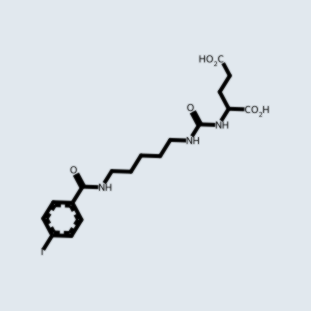 O=C(O)CCC(NC(=O)NCCCCCNC(=O)c1ccc(I)cc1)C(=O)O